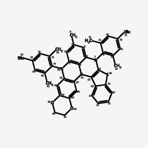 Cc1cc2c3c(c1)N(c1c(C)cc(C(C)(C)C)cc1C)c1sc4ccccc4c1B3c1cc3c(cc1N2c1c(C)cc(C(C)(C)C)cc1C)OCCO3